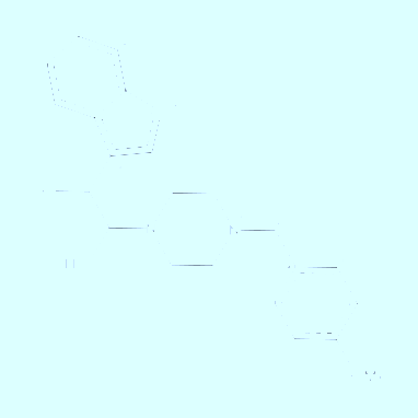 COc1ccc(CN2CCN(C(C)C(O)c3csc4ccccc34)CC2)cc1